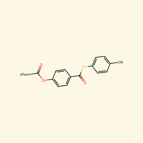 CCCCCC(=O)Oc1ccc(C(=O)Sc2ccc(C#N)cc2)cc1